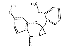 COc1ccc2c(c1)OC1(c3ccccc3OC)CC1C2=O